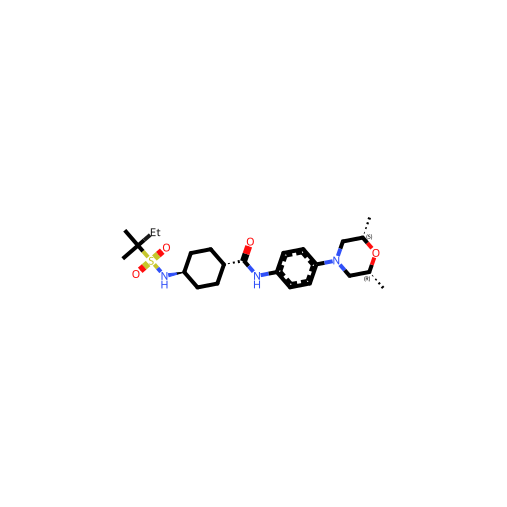 CCC(C)(C)S(=O)(=O)N[C@H]1CC[C@H](C(=O)Nc2ccc(N3C[C@@H](C)O[C@@H](C)C3)cc2)CC1